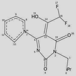 CC(C)CN1C(=O)N=C([n+]2ccccc2)/C(=C(\O)C(F)F)C1=O